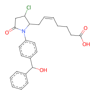 O=C(O)CCC/C=C\CC1C(Cl)CC(=O)N1c1ccc(C(O)c2ccccc2)cc1